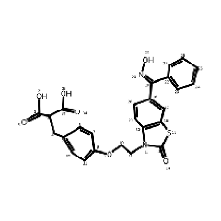 O=C(O)C(Cc1ccc(OCCn2c(=O)sc3cc(C(=NO)c4ccccc4)ccc32)cc1)C(=O)O